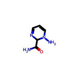 NC(=O)C1N=CC=CN1N